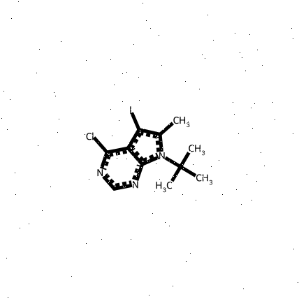 Cc1c(I)c2c(Cl)ncnc2n1C(C)(C)C